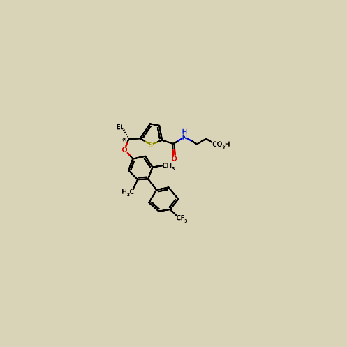 CC[C@@H](Oc1cc(C)c(-c2ccc(C(F)(F)F)cc2)c(C)c1)c1ccc(C(=O)NCCC(=O)O)s1